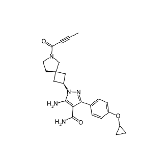 CC#CC(=O)N1CC[C@]2(C1)C[C@H](n1nc(-c3ccc(OC4CC4)cc3)c(C(N)=O)c1N)C2